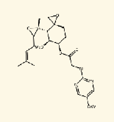 COc1cnc(NCC(=O)O[C@@H]2CC[C@]3(CO3)[C@@H]([C@@]3(C)OC3CC=C(C)C)[C@@H]2OC)nc1